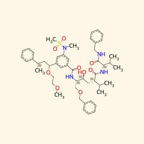 COCCOC(C[C@H](C)c1ccccc1)c1cc(C(=O)N[C@@H](COCc2ccccc2)[C@@H](O)C[C@H](C(=O)N[C@H](C(=O)NCc2ccccc2)C(C)C)C(C)C)cc(N(C)S(C)(=O)=O)c1